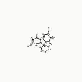 CC1=CC(C2(C3=C(C)C(=O)C(=[N+]=[N-])C=C3)CCCCC2)=CC(=[N+]=[N-])C1=O